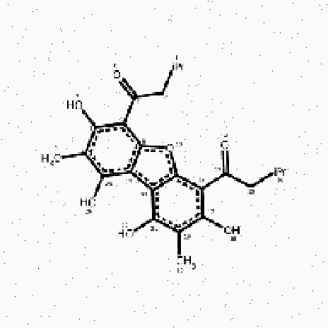 Cc1c(O)c(C(=O)CC(C)C)c2oc3c(C(=O)CC(C)C)c(O)c(C)c(O)c3c2c1O